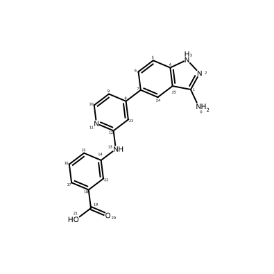 Nc1n[nH]c2ccc(-c3ccnc(Nc4cccc(C(=O)O)c4)c3)cc12